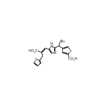 CCC(C)C(c1csc(C(=O)O)c1)c1ncc(/C=C(\Cc2cccs2)C(=O)O)[nH]1